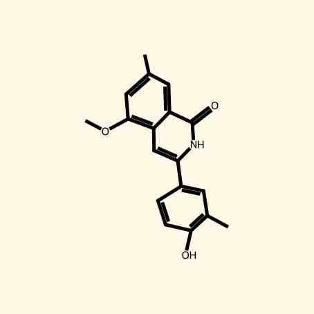 COc1cc(C)cc2c(=O)[nH]c(-c3ccc(O)c(C)c3)cc12